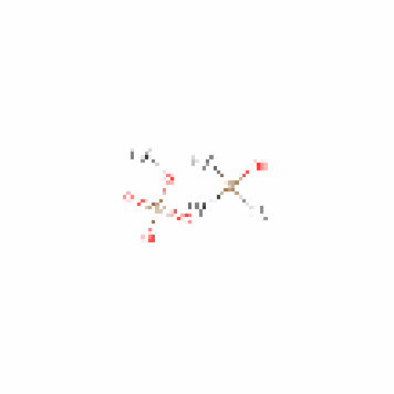 COS(=O)(=O)O.CS(C)(C)O